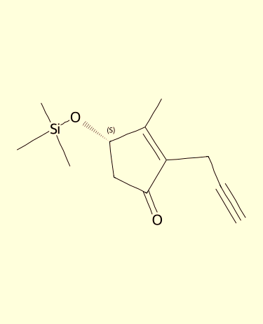 C#CCC1=C(C)[C@@H](O[Si](C)(C)C)CC1=O